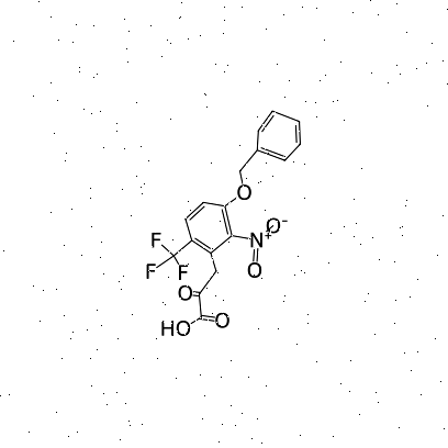 O=C(O)C(=O)Cc1c(C(F)(F)F)ccc(OCc2ccccc2)c1[N+](=O)[O-]